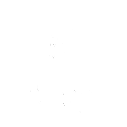 CCCNC(=O)C=Cc1nc2c(C)cc(C)nc2n1-c1ccc(CCNC(=O)NS(=O)(=O)c2ccc(C)cc2)cc1